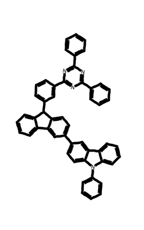 c1ccc(-c2nc(-c3ccccc3)nc(-c3cccc(C4c5ccccc5-c5cc(-c6ccc7c(c6)c6ccccc6n7-c6ccccc6)ccc54)c3)n2)cc1